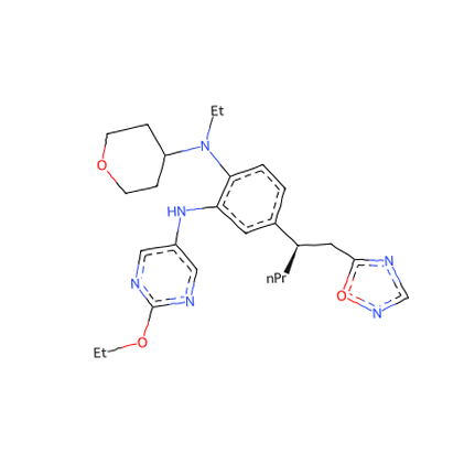 CCC[C@H](Cc1ncno1)c1ccc(N(CC)C2CCOCC2)c(Nc2cnc(OCC)nc2)c1